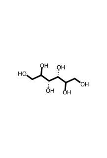 OCC(O)[C@@H](O)[C@H](O)C(O)CO